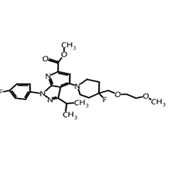 COCCOCC1(F)CCN(c2cc(C(=O)OC)nc3c2c(C(C)C)nn3-c2ccc(F)cc2)CC1